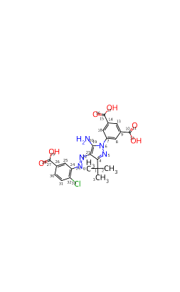 CC(C)(C)c1nn(-c2cc(C(=O)O)cc(C(=O)O)c2)c(N)c1/N=N/c1cc(C(=O)O)ccc1Cl